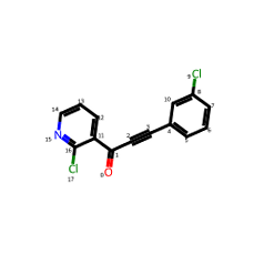 O=C(C#Cc1cccc(Cl)c1)c1cccnc1Cl